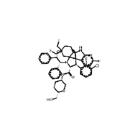 O=C(N[C@@H]1CC[C@@H](CO)OC1)[C@H]1[C@H](c2cccc(Cl)c2F)C2(C(=O)Nc3nc(Cl)ccc32)C2(CCCC(CF)(CF)C2)N1[C@H](c1ccccc1)[C@@H](O)c1ccccc1